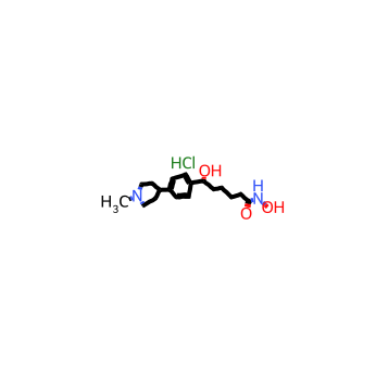 CN1CCC(c2ccc(C(O)CCCCC(=O)NO)cc2)CC1.Cl